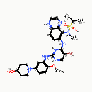 COc1ccc(N2CCC(O)CC2)cc1Nc1ncc(Br)c(Nc2ccc3nccnc3c2N(C)S(=O)(=O)C(C)C)n1